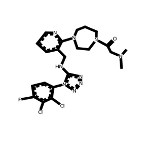 CN(C)CC(=O)N1CCCN(c2ncccc2CNc2nnnn2-c2ccc(F)c(Cl)c2Cl)CC1